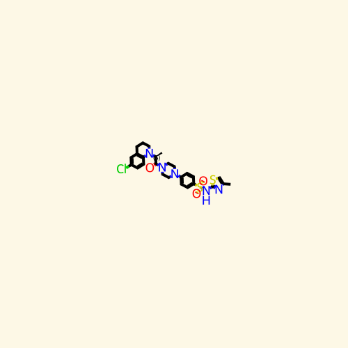 Cc1csc(NS(=O)(=O)c2ccc(N3CCN(C(=O)[C@H](C)N4CCCc5cc(Cl)ccc54)CC3)cc2)n1